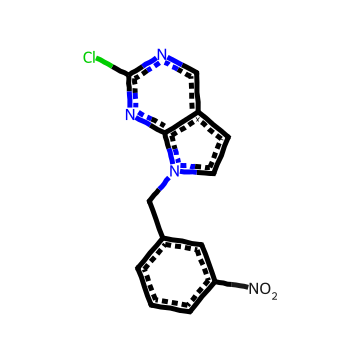 O=[N+]([O-])c1cccc(Cn2ccc3cnc(Cl)nc32)c1